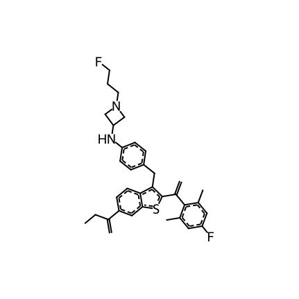 C=C(CC)c1ccc2c(Cc3ccc(NC4CN(CCCF)C4)cc3)c(C(=C)c3c(C)cc(F)cc3C)sc2c1